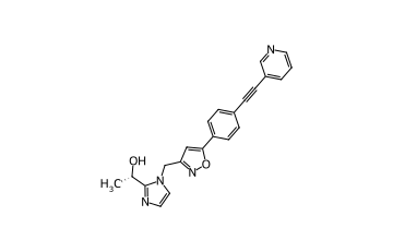 C[C@H](O)c1nccn1Cc1cc(-c2ccc(C#Cc3cccnc3)cc2)on1